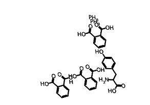 NC(Cc1ccc(O)cc1)C(=O)O.O=C(O)c1ccccc1C(=O)O.O=C(O)c1ccccc1C(=O)O.O=C(O)c1ccccc1C(=O)O.P.P